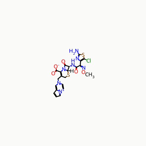 CO/N=C(\C(=O)N[C@@H]1C(=O)N2C(C(=O)[O-])=C(Cn3cc[n+]4cccc-4c3)CS[C@@H]12)c1nc(N)sc1Cl